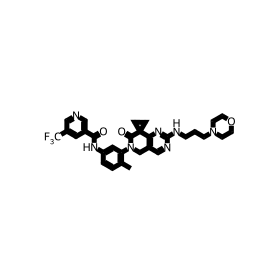 Cc1ccc(NC(=O)c2cncc(C(F)(F)F)c2)cc1N1Cc2cnc(NCCCN3CCOCC3)nc2C2(CC2)C1=O